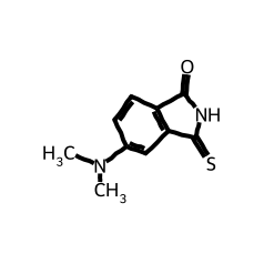 CN(C)c1ccc2c(c1)C(=S)NC2=O